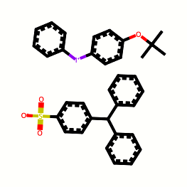 CC(C)(C)Oc1ccc([I+]c2ccccc2)cc1.O=S(=O)([O-])c1ccc(C(c2ccccc2)c2ccccc2)cc1